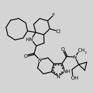 CN(C(=O)c1[nH]nc2c1CN(C(=O)C1CC3C(Cl)C(F)CCC3(C3CCCCCCC3)N1)CC2)C1(CO)CC1